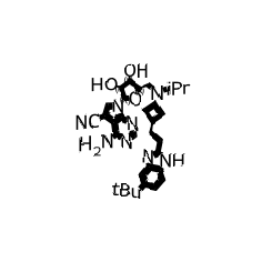 CC(C)N(C[C@H]1O[C@@H](n2cc(C#N)c3c(N)ncnc32)[C@H](O)[C@@H]1O)[C@H]1C[C@H](CCc2nc3cc(C(C)(C)C)ccc3[nH]2)C1